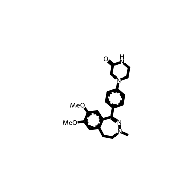 COc1cc2c(cc1OC)C(c1ccc(N3CCNC(=O)C3)cc1)=NN(C)CC2